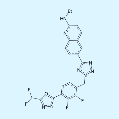 CCNc1ccc2cc(-c3nnn(Cc4ccc(-c5nnc(C(F)F)o5)c(F)c4F)n3)ccc2n1